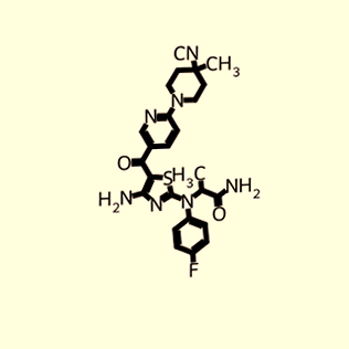 CC(C(N)=O)N(c1ccc(F)cc1)c1nc(N)c(C(=O)c2ccc(N3CCC(C)(C#N)CC3)nc2)s1